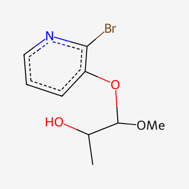 COC(Oc1cccnc1Br)C(C)O